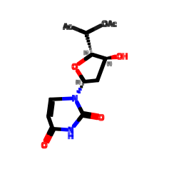 CC(=O)OC(C(C)=O)[C@H]1O[C@@H](n2ccc(=O)[nH]c2=O)C[C@@H]1O